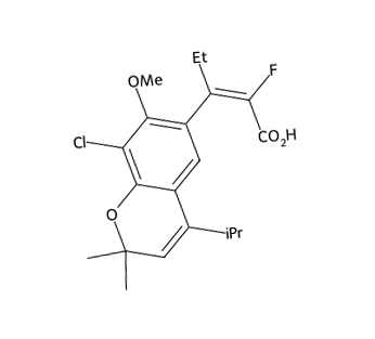 CC/C(=C(\F)C(=O)O)c1cc2c(c(Cl)c1OC)OC(C)(C)C=C2C(C)C